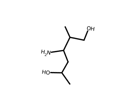 CC(O)CC(N)C(C)CO